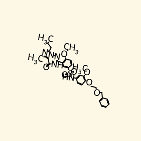 CCCc1nc(C)c2c(=O)[nH]c(-c3cc(S(=O)(=O)Nc4ccc(OCCOCc5ccccc5)c(OC)c4)ccc3OCC)nn12